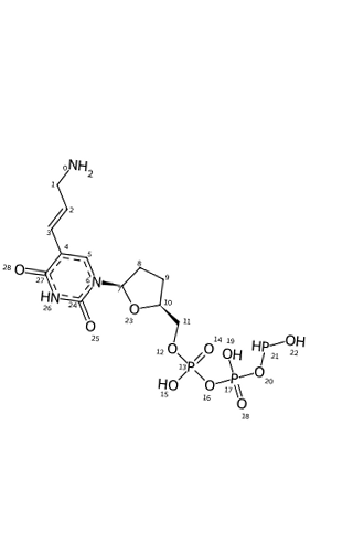 NC/C=C/c1cn([C@H]2CC[C@@H](COP(=O)(O)OP(=O)(O)OPO)O2)c(=O)[nH]c1=O